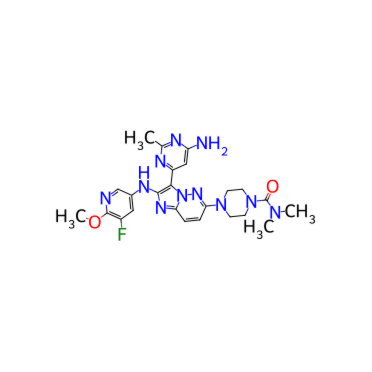 COc1ncc(Nc2nc3ccc(N4CCN(C(=O)N(C)C)CC4)nn3c2-c2cc(N)nc(C)n2)cc1F